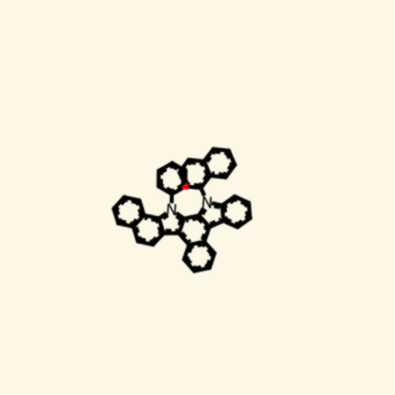 c1ccc(-n2c3c4ccccc4ccc3c3c4ccccc4c4c5ccccc5n(-c5cccc6ccccc56)c4c32)cc1